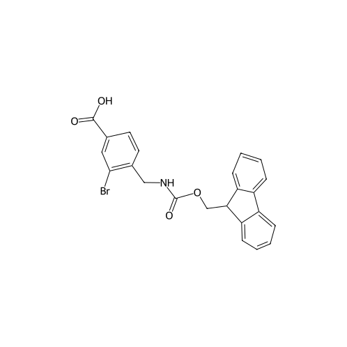 O=C(NCc1ccc(C(=O)O)cc1Br)OCC1c2ccccc2-c2ccccc21